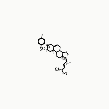 CC[C@H](C=C[C@@H](C)[C@H]1CCC2C3CC=C4C[C@@H](c5cc(C)ccc5S(=O)(=O)O)CC[C@]4(C)C3CC[C@@]21C)C(C)C